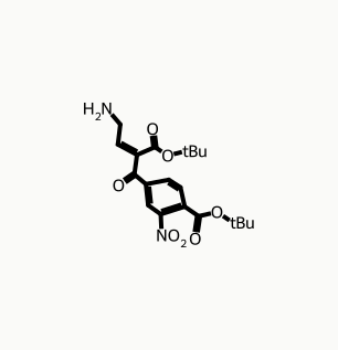 CC(C)(C)OC(=O)C(=CCN)C(=O)c1ccc(C(=O)OC(C)(C)C)c([N+](=O)[O-])c1